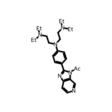 CCN(CC)CCN(CCN(CC)CC)c1ccc(-c2nc3ccncc3n2C(C)=O)cc1